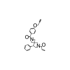 C#CCOc1ccc(C(=O)N2CC3(CN(C(=O)C=C)C[C@H]3c3ccccc3)C2)cc1